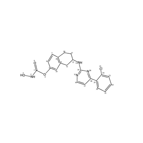 O=C(NO)Oc1ccc2c(c1)CC(Nc1nccc(-c3ccccc3Cl)n1)CC2